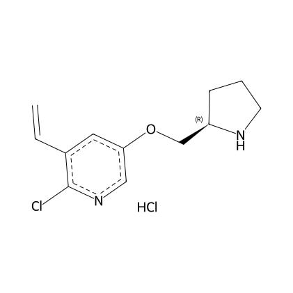 C=Cc1cc(OC[C@H]2CCCN2)cnc1Cl.Cl